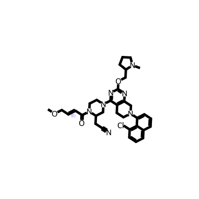 COC/C=C/C(=O)N1CCN(c2nc(OCC3CCCN3C)nc3c2CCN(c2cccc4cccc(Cl)c24)C3)CC1CC#N